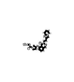 CC(C)(C)OC(=O)N1CC[C@@H](Nc2cccc3cnn(CCc4cn5ccccc5n4)c(=O)c23)C1